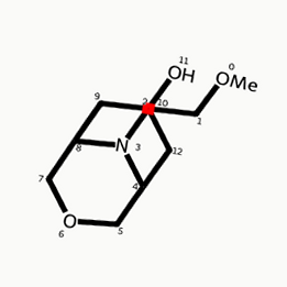 COCCN1C2COCC1CC(O)C2